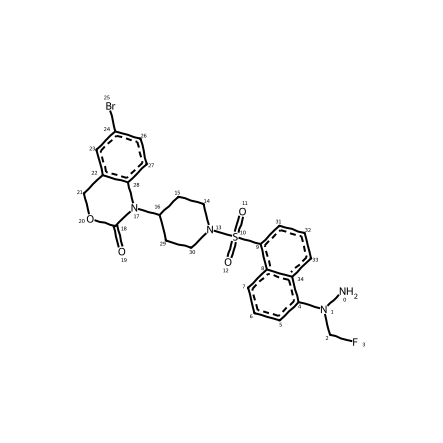 NN(CF)c1cccc2c(S(=O)(=O)N3CCC(N4C(=O)OCc5cc(Br)ccc54)CC3)cccc12